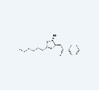 CCCCCCc1cn(CC(=O)c2ccccc2)c(=N)s1